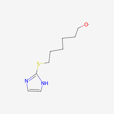 [O]CCCCCCSc1ncc[nH]1